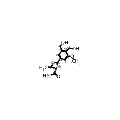 COc1cc(C2=NN(C(C)=O)C(C)O2)cc(CO)c1CO